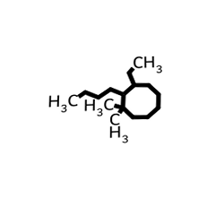 CCCCC1C(CC)CCCCCC1(C)C